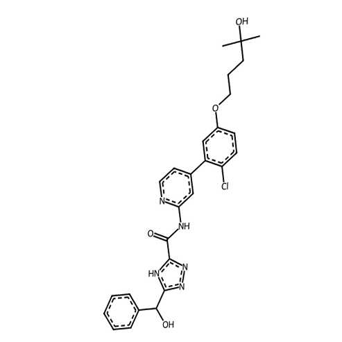 CC(C)(O)CCCOc1ccc(Cl)c(-c2ccnc(NC(=O)c3nnc(C(O)c4ccccc4)[nH]3)c2)c1